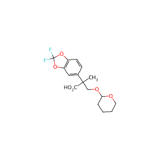 CC(COC1CCCCO1)(C(=O)O)c1ccc2c(c1)OC(F)(F)O2